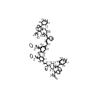 CN(C)C(=O)C1CN(C(=O)/C=C/c2ccc(Sc3ccc(/C=C/C(=O)N4CCN(C(=O)c5ccncc5)C(C(=O)N(C)C)C4)cc3[N+](=O)[O-])c([N+](=O)[O-])c2)CCN1C(=O)c1ccncc1